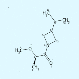 CO[C@H](C)C(=O)N1CC(C(C)C)C1